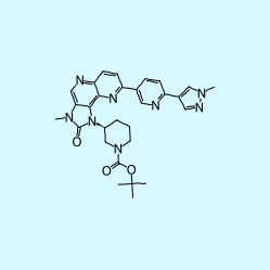 Cn1cc(-c2ccc(-c3ccc4ncc5c(c4n3)n([C@H]3CCCN(C(=O)OC(C)(C)C)C3)c(=O)n5C)cn2)cn1